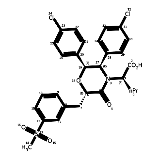 CCC[C@H](C(=O)O)N1C(=O)[C@H](Cc2cccc(S(C)(=O)=O)c2)O[C@@H](c2ccc(Cl)cc2)[C@H]1c1ccc(Cl)cc1